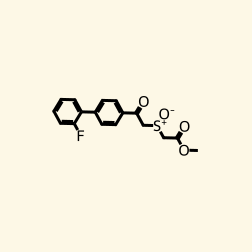 COC(=O)C[S+]([O-])CC(=O)c1ccc(-c2ccccc2F)cc1